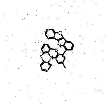 Cc1cc2c3c(c1)N1c4ccccc4Sc4cccc(c41)B3n1c3c-2cccc3c2oc3ccccc3c21